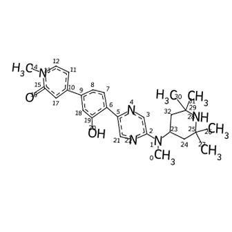 CN(c1cnc(-c2ccc(-c3ccn(C)c(=O)c3)cc2O)cn1)C1CC(C)(C)NC(C)(C)C1